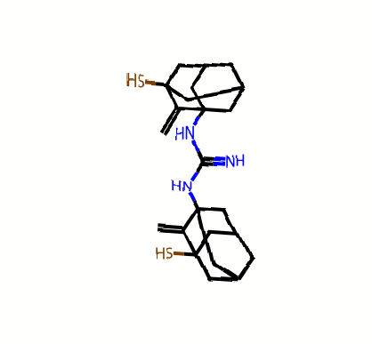 C=C1C2(S)CC3CC(C2)CC1(NC(=N)NC12CC4CC(CC(S)(C4)C1=C)C2)C3